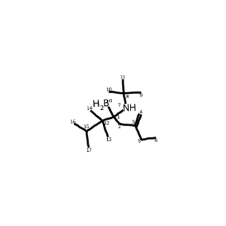 BC(CC(=C)CC)(NC(C)(C)C)C(C)(C)C(C)C